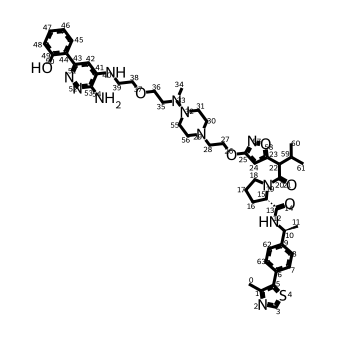 Cc1ncsc1-c1ccc([C@H](C)NC(=O)[C@@H]2CCCN2C(=O)C(c2cc(OCCN3CCN(N(C)CCOCCNc4cc(-c5ccccc5O)nnc4N)CC3)no2)C(C)C)cc1